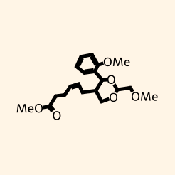 COCC1OCC(C/C=C\CCC(=O)OC)C(c2ccccc2OC)O1